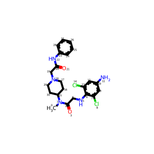 CN(C(=O)CNc1c(Cl)cc(N)cc1Cl)C1CCN(CC(=O)Nc2ccccc2)CC1